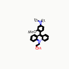 CCN(CC)c1ccc(-c2c3ccccc3[n+](CCO)c3ccccc23)c(OC)c1